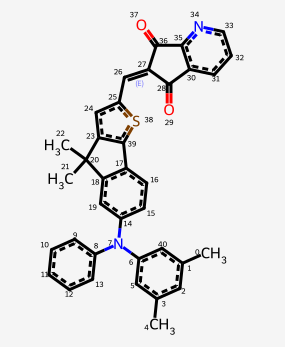 Cc1cc(C)cc(N(c2ccccc2)c2ccc3c(c2)C(C)(C)c2cc(/C=C4\C(=O)c5cccnc5C4=O)sc2-3)c1